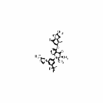 CCN(C)C(=O)c1c(Nc2cc(-n3cnc(C)c3)cc(C(F)(F)F)c2)ncnc1Oc1cc(F)c2[nH]c(C)cc2c1F